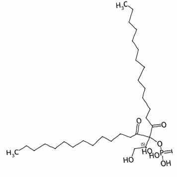 CCCCCCCCCCCCCC(=O)C(OP(=O)(O)O)(C(=O)CCCCCCCCCCCCC)[C@@H](O)CO